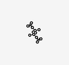 c1ccc(-c2cc(-c3ccc(N(c4ccccc4)c4ccccc4)cc3)c3ccc4c(-c5ccccc5)cc(-c5ccc(N(c6ccccc6)c6ccccc6)cc5)c5ccc2c3c45)cc1